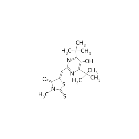 CN1C(=O)/C(=C/c2nc(C(C)(C)C)c(O)c(C(C)(C)C)n2)SC1=S